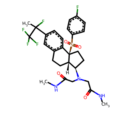 CNC(=O)CN(CC(=O)NC)[C@@H]1CC[C@@]2(S(=O)(=O)c3ccc(F)cc3)c3ccc(C(C)(F)C(F)(F)F)cc3CC[C@@H]12